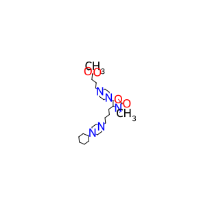 COC(=O)CCCN1CCN(C2OC(=O)N(C)C2CCCCN2CCN(C3CCCCC3)CC2)CC1